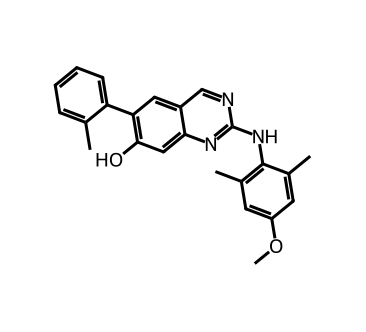 COc1cc(C)c(Nc2ncc3cc(-c4ccccc4C)c(O)cc3n2)c(C)c1